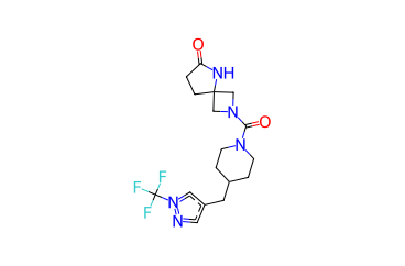 O=C1CCC2(CN(C(=O)N3CCC(Cc4cnn(C(F)(F)F)c4)CC3)C2)N1